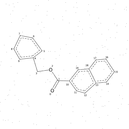 O=C(OCc1ccccc1)c1ccc2ccccc2c1